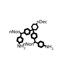 CCCCCCCCCCC1CCC(c2ccc(C(CCCCCCCCC)c3ccc(N)cc3)cc2)(c2ccc(C(CCCCCCCCC)c3ccc(N)cc3)cc2)CC1